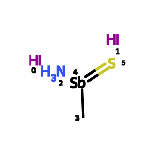 I.I.N.[CH3][Sb]=[S]